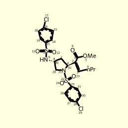 CCCC=C(C(=O)OC)[C@@H]1C[C@@H](NS(=O)(=O)c2ccc(Cl)cc2)CN1S(=O)(=O)c1ccc(Cl)cc1